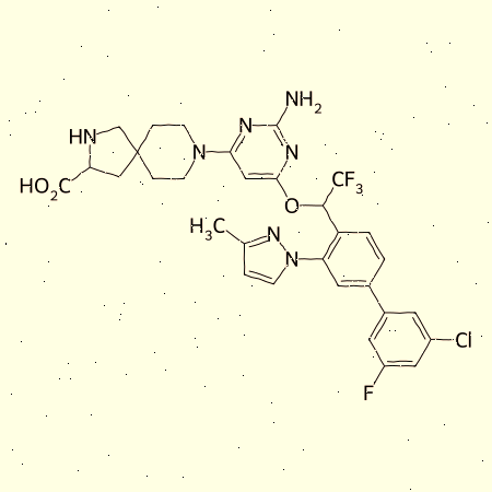 Cc1ccn(-c2cc(-c3cc(F)cc(Cl)c3)ccc2C(Oc2cc(N3CCC4(CC3)CNC(C(=O)O)C4)nc(N)n2)C(F)(F)F)n1